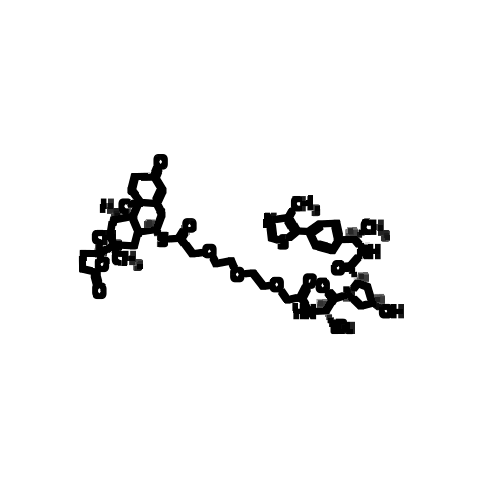 Cc1ncsc1-c1ccc([C@H](C)NC(=O)[C@@H]2C[C@@H](O)CN2C(=O)[C@@H](NC(=O)COCCOCCOCC(=O)S[C@@H]2CC3=CC(=O)CCC3(C)C3CCC(C)([C@@]4(C)CCC(=O)O4)CC32)C(C)(C)C)cc1